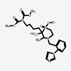 CCOP1(=O)CCN(Cc2ccccc2-n2ccnc2)C(C(C)(C)C)C1(CCCCN(C(=O)OC(C)(C)C)C(=O)OC(C)(C)C)C(=O)O